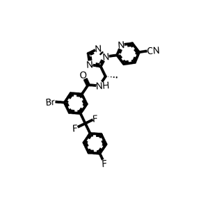 C[C@H](NC(=O)c1cc(Br)cc(C(F)(F)c2ccc(F)cc2)c1)c1ncnn1-c1ccc(C#N)cn1